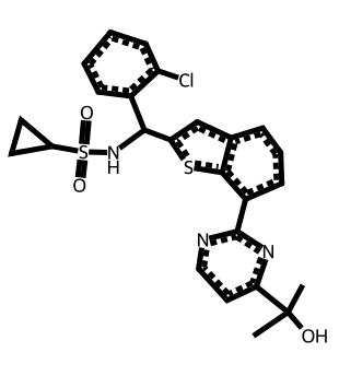 CC(C)(O)c1ccnc(-c2cccc3cc(C(NS(=O)(=O)C4CC4)c4ccccc4Cl)sc23)n1